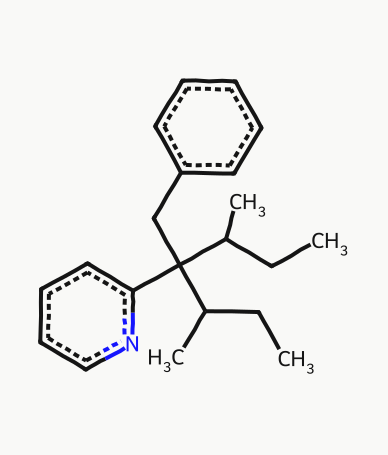 CCC(C)C(Cc1ccccc1)(c1ccccn1)C(C)CC